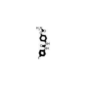 NC(=O)OC1CCC(NC(=O)Nc2ccc(F)cc2)CC1